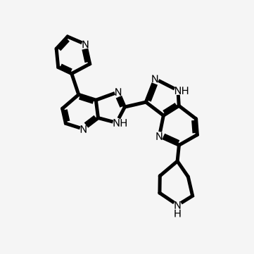 c1cncc(-c2ccnc3[nH]c(-c4n[nH]c5ccc(C6CCNCC6)nc45)nc23)c1